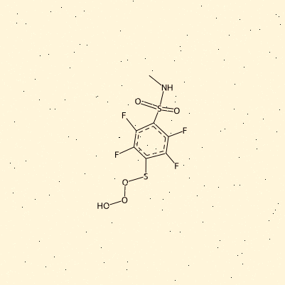 CNS(=O)(=O)c1c(F)c(F)c(SOOO)c(F)c1F